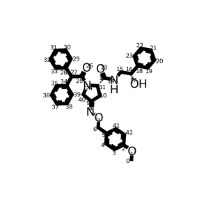 COc1ccc(CO/N=C2\C[C@@H](C(=O)NC[C@@H](O)c3ccccc3)N(C(=O)C(c3ccccc3)c3ccccc3)C2)cc1